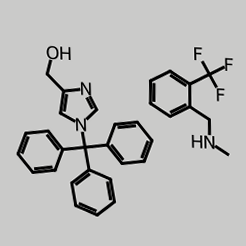 CNCc1ccccc1C(F)(F)F.OCc1cn(C(c2ccccc2)(c2ccccc2)c2ccccc2)cn1